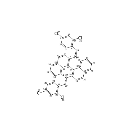 Clc1ccc(/C=N\c2ccc3ccccc3c2-c2c(/N=C/c3ccc(Cl)cc3Cl)ccc3ccccc23)c(Cl)c1